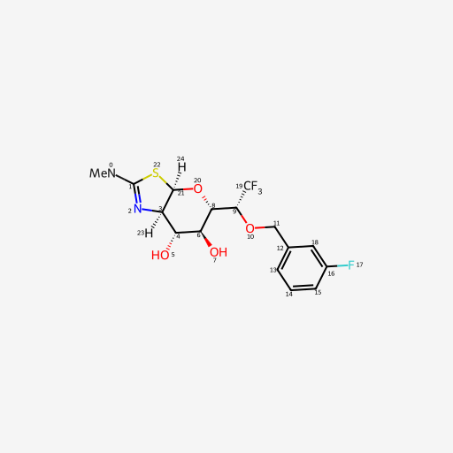 CNC1=N[C@@H]2[C@@H](O)[C@H](O)[C@@H]([C@@H](OCc3cccc(F)c3)C(F)(F)F)O[C@@H]2S1